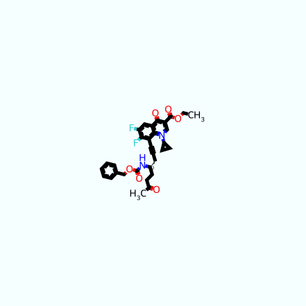 CCOC(=O)c1cn(C2CC2)c2c(C#CC[C@H](CCC(C)=O)NC(=O)OCc3ccccc3)c(F)c(F)cc2c1=O